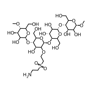 CO[C@@H]1OC(CO)[C@@H](O[C@@H]2OC(CO)[C@@H](O[C@@H]3OC(CO)[C@@H](O[C@@H]4OC(CO)[C@@H](OC)[C@H](O)C4O)[C@H](O)C3OCCS(=O)(=O)CCN)[C@H](O)C2O)[C@H](O)C1O